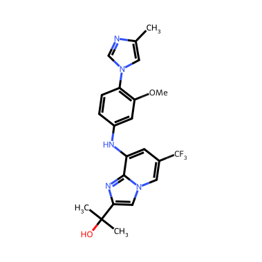 COc1cc(Nc2cc(C(F)(F)F)cn3cc(C(C)(C)O)nc23)ccc1-n1cnc(C)c1